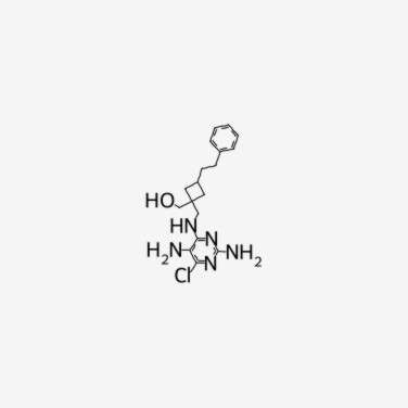 Nc1nc(Cl)c(N)c(NCC2(CO)CC(CCc3ccccc3)C2)n1